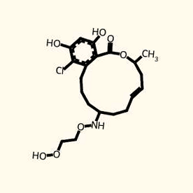 CC1C/C=C/CCC(NOCCOO)CCCc2c(Cl)c(O)cc(O)c2C(=O)O1